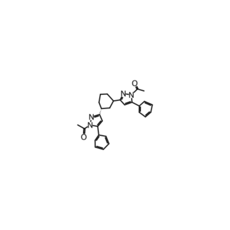 CC(=O)n1nc(C2CCC[C@@H](c3cc(-c4ccccc4)n(C(C)=O)n3)C2)cc1-c1ccccc1